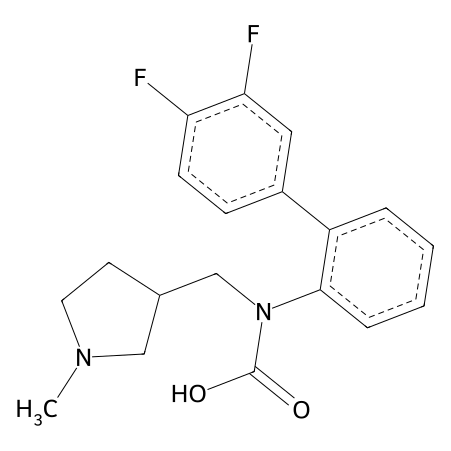 CN1CCC(CN(C(=O)O)c2ccccc2-c2ccc(F)c(F)c2)C1